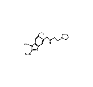 CNc1nc2cc(CNCCN3CCCC3)c(C)cc2n1C(C)C